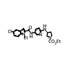 CCOC(=O)N1CC[C@H](Nc2ccc(NC(=O)c3cc4cc(Cl)ccc4n3CC)cn2)C1